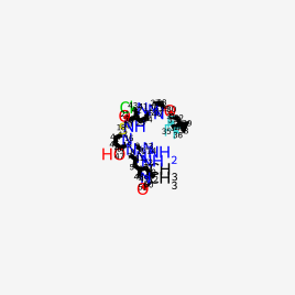 CC1(C)CC(CCCN(C/C(N=N)=N/N)C2=NC(SNC(=O)c3ccc(-n4ccc(OCCC5(C(F)(F)F)CC5)n4)nc3Cl)CC[C@@H]2O)CN1C=O